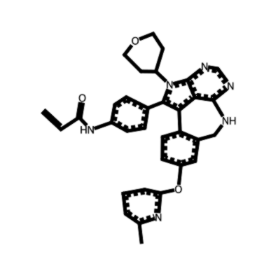 C=CC(=O)Nc1ccc(-c2c3c4c(ncnc4n2C2CCOCC2)NCc2cc(Oc4cccc(C)n4)ccc2-3)cc1